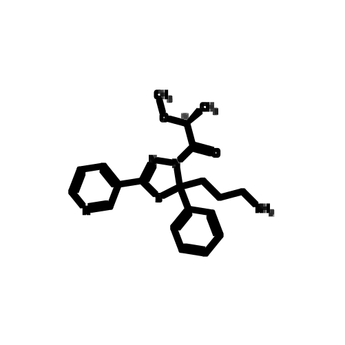 CO[C@@H](C)C(=O)N1N=C(c2cccnc2)SC1(CCCN)c1ccccc1